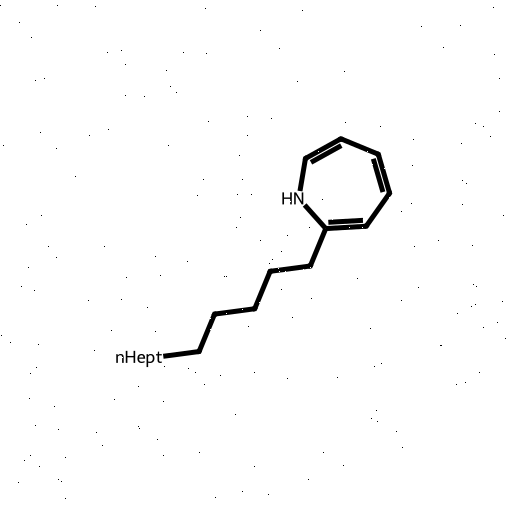 CCCCCCCCCCCCC1=CC=CC=CN1